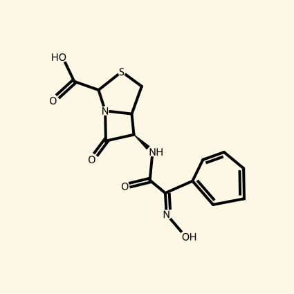 O=C(N[C@H]1C(=O)N2C(C(=O)O)SCC12)/C(=N/O)c1ccccc1